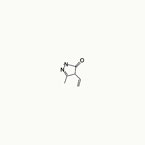 C=CC1C(=O)[N]N=C1C